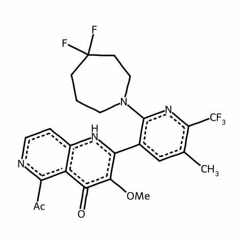 COc1c(-c2cc(C)c(C(F)(F)F)nc2N2CCCC(F)(F)CC2)[nH]c2ccnc(C(C)=O)c2c1=O